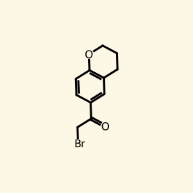 O=C(CBr)c1ccc2c(c1)CCCO2